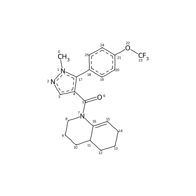 Cn1ncc(C(=O)N2CCCC3CCCC=C32)c1-c1ccc(OC(F)(F)F)cc1